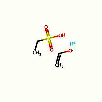 C=C[O].CCS(=O)(=O)O.F